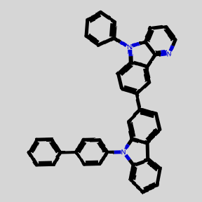 c1ccc(-c2ccc(-n3c4ccccc4c4ccc(-c5ccc6c(c5)c5ncccc5n6-c5ccccc5)cc43)cc2)cc1